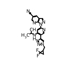 CC(C)Nc1cc(-n2ncc3cc(C#N)cnc32)ncc1-c1cn(CC2CC2(F)F)nn1